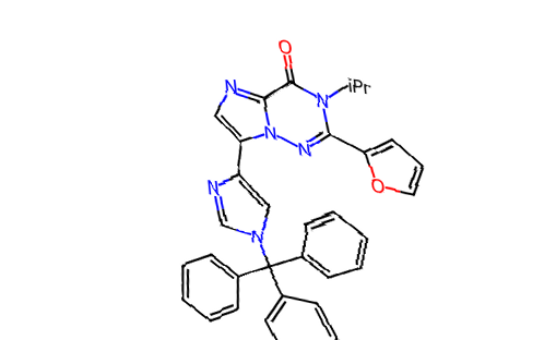 CC(C)n1c(-c2ccco2)nn2c(-c3cn(C(c4ccccc4)(c4ccccc4)c4ccccc4)cn3)cnc2c1=O